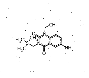 CCn1c(=O)n(C[Si](C)(C)C)c(=O)c2cc(N)ccc21